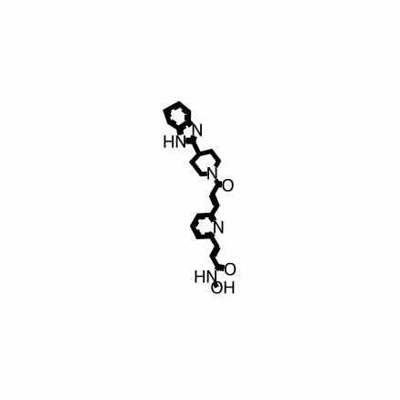 O=C(C=Cc1cccc(C=CC(=O)N2CCC(c3nc4ccccc4[nH]3)CC2)n1)NO